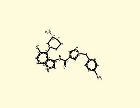 Cc1ccc(Cn2cc(C(=O)Nc3c[nH]c4ncc(Cl)c(N5CCC[C@@H](N)C5)c34)cn2)cc1